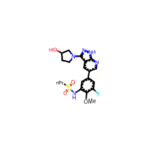 CCCS(=O)(=O)Nc1cc(-c2cnc3[nH]nc(N4CCC(O)C4)c3c2)cc(F)c1OC